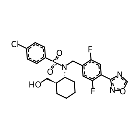 O=S(=O)(c1ccc(Cl)cc1)N(Cc1cc(F)c(-c2ncon2)cc1F)[C@@H]1CCCC[C@H]1CO